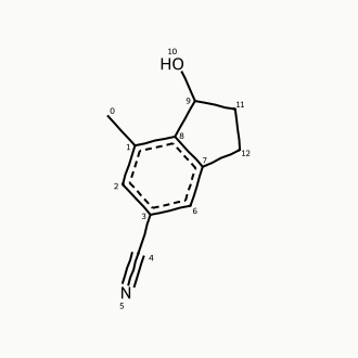 Cc1cc(C#N)cc2c1C(O)CC2